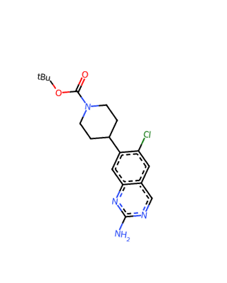 CC(C)(C)OC(=O)N1CCC(c2cc3nc(N)ncc3cc2Cl)CC1